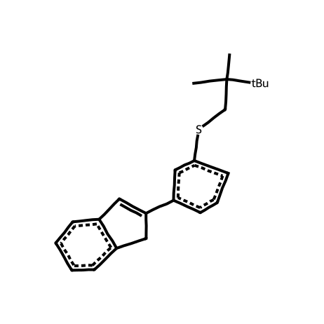 CC(C)(C)C(C)(C)CSc1cccc(C2=Cc3ccccc3C2)c1